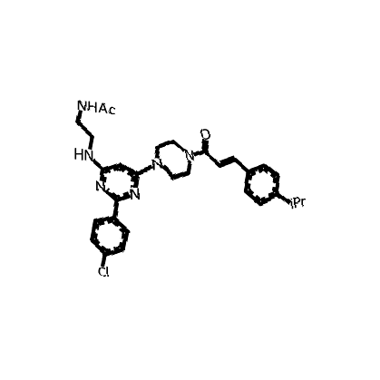 CC(=O)NCCNc1cc(N2CCN(C(=O)C=Cc3ccc(C(C)C)cc3)CC2)nc(-c2ccc(Cl)cc2)n1